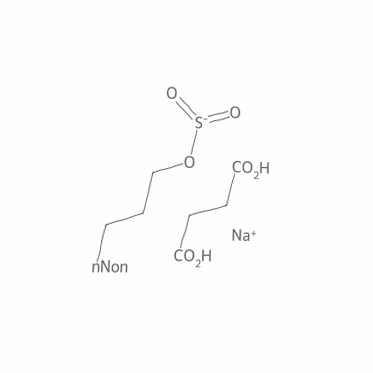 CCCCCCCCCCCCO[S-](=O)=O.O=C(O)CCC(=O)O.[Na+]